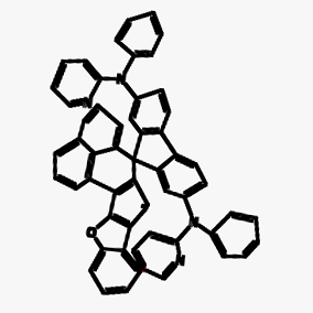 c1ccc(N(c2ccc3c(c2)C2(c4cc(N(c5ccccc5)c5ccccn5)ccc4-3)c3ccc4c(oc5ccccc54)c3-c3cccc4cccc2c34)c2ccccn2)cc1